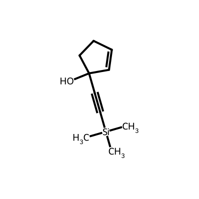 C[Si](C)(C)C#CC1(O)C=CCC1